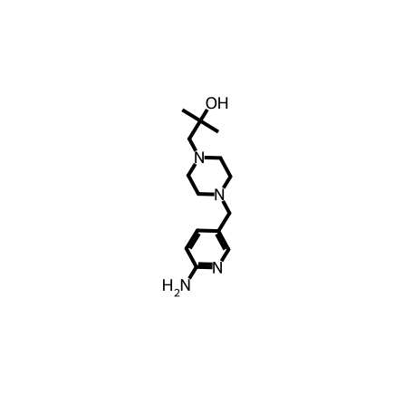 CC(C)(O)CN1CCN(Cc2ccc(N)nc2)CC1